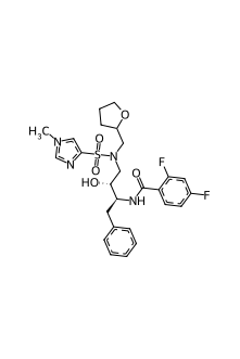 Cn1cnc(S(=O)(=O)N(CC2CCCO2)C[C@@H](O)[C@H](Cc2ccccc2)NC(=O)c2ccc(F)cc2F)c1